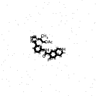 CC(=O)OC[C@@H](C)n1nnnc1-c1cccc(NC(=O)c2cc3c(cc2F)CCNC3)n1